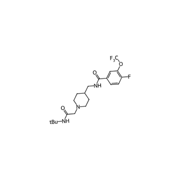 CC(C)(C)NC(=O)CN1CCC(CNC(=O)c2ccc(F)c(OC(F)(F)F)c2)CC1